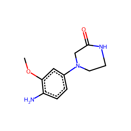 COc1cc(N2CCNC(=O)C2)ccc1N